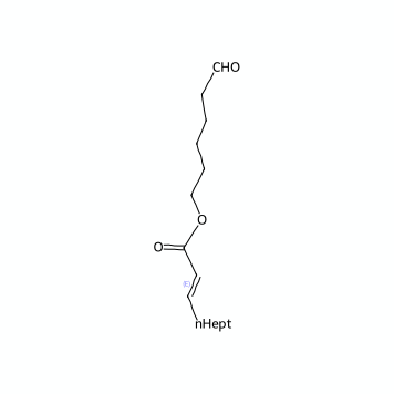 CCCCCCC/C=C/C(=O)OCCCCCC=O